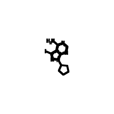 Nc1ncnc2c1c(I)nn2C1CCCC1